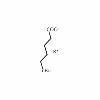 CCCCCCCCC(=O)[O-].[K+]